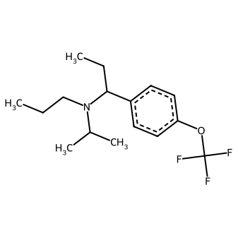 CCCN(C(C)C)C(CC)c1ccc(OC(F)(F)F)cc1